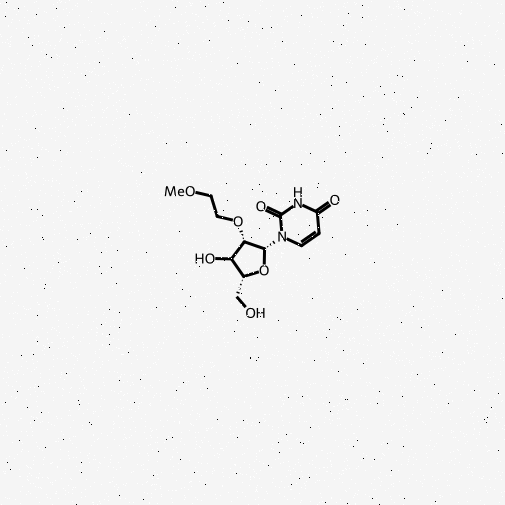 COCCO[C@H]1C(O)[C@@H](CO)O[C@H]1n1ccc(=O)[nH]c1=O